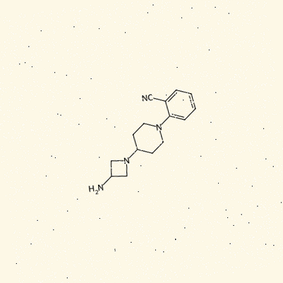 N#Cc1ccccc1N1CCC(N2CC(N)C2)CC1